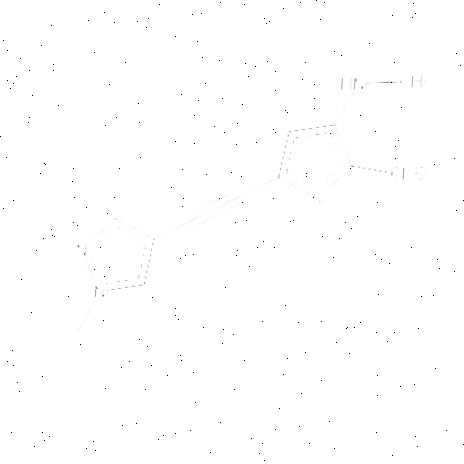 Cn1cc(C#Cc2cc(NC=O)c(C=O)s2)cn1